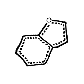 [c]1cccc2occc12